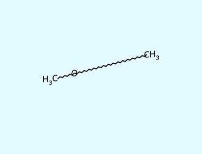 CCCCCCCCCCCCCCCCCCCCCCCCCCCCCCOCCCCCCCC